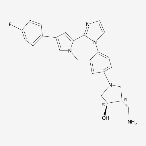 NC[C@H]1CN(c2ccc3c(c2)Cn2cc(-c4ccc(F)cc4)cc2-c2nccn2-3)C[C@@H]1O